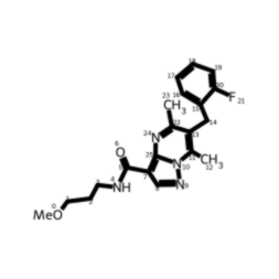 COCCCNC(=O)c1cnn2c(C)c(Cc3ccccc3F)c(C)nc12